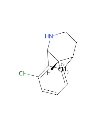 C[C@H]1C2CCNC1c1c(Cl)cccc12